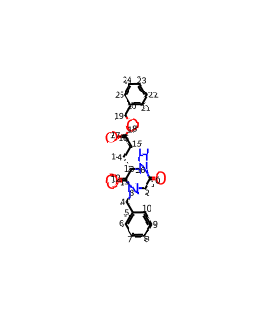 O=C1CN(Cc2ccccc2)C(=O)[C@H](CCC(=O)OCc2ccccc2)N1